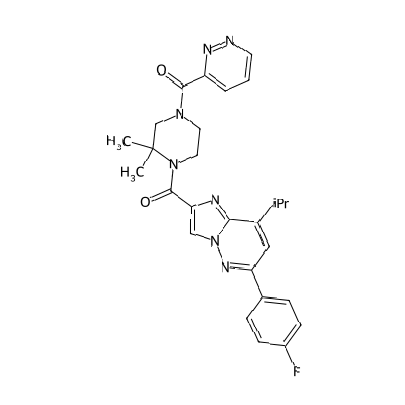 CC(C)c1cc(-c2ccc(F)cc2)nn2cc(C(=O)N3CCN(C(=O)c4cccnn4)CC3(C)C)nc12